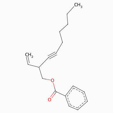 C=CC(C#CCCCCC)COC(=O)c1ccccc1